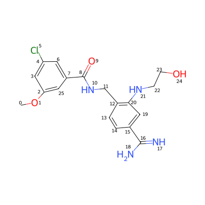 COc1cc(Cl)cc(C(=O)NCc2ccc(C(=N)N)cc2NCCO)c1